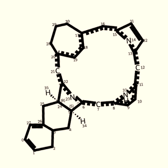 C1=CCC2C[C@@H]3c4cc5ccc(cc6nc(cc7ccc(cc(n4)[C@@H]3CC2=C1)CCC7)C=C6)[nH]5